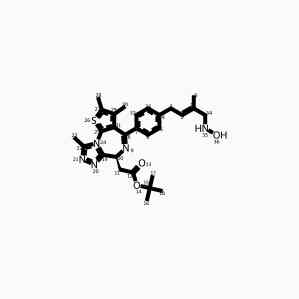 C/C(=C\Cc1ccc(C2=N[C@@H](CC(=O)OC(C)(C)C)c3nnc(C)n3-c3sc(C)c(C)c32)cc1)CNO